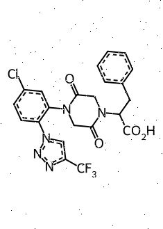 O=C(O)C(Cc1ccccc1)N1CC(=O)N(c2cc(Cl)ccc2-n2cc(C(F)(F)F)nn2)CC1=O